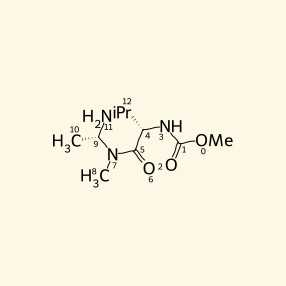 COC(=O)N[C@H](C(=O)N(C)[C@H](C)N)C(C)C